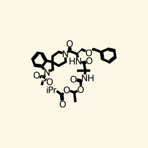 CC(OC(=O)NC(C)(C)C(=O)N[C@H](COCc1ccccc1)C(=O)N1CCC2(CC1)CN(S(C)(=O)=O)c1ccccc12)OC(=O)C(C)C